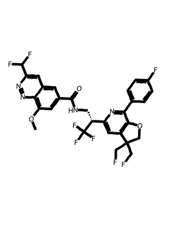 COc1cc(C(=O)NC[C@H](c2cc3c(c(-c4ccc(F)cc4)n2)OCC3(CF)CF)C(F)(F)F)cc2cc(C(F)F)nnc12